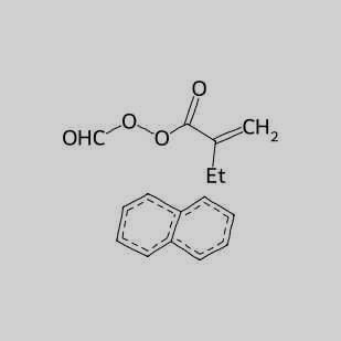 C=C(CC)C(=O)OOC=O.c1ccc2ccccc2c1